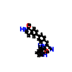 N#C[C@H](Cc1ccc(-c2ccc3c(c2)CCNC3=O)cc1)NC(=O)[C@H]1NC2CCC1CC2